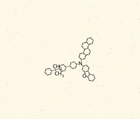 CC(C)(c1ccccc1)c1ccc(-c2ccc(N(c3ccc4c(ccc5c6ccccc6ccc45)c3)c3ccc4c(c3)oc3ccccc34)cc2)cc1